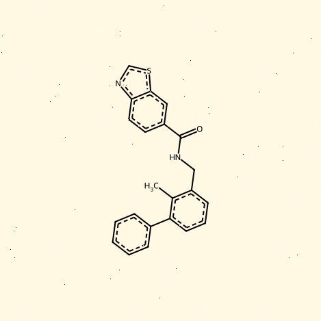 Cc1c(CNC(=O)c2ccc3ncsc3c2)cccc1-c1ccccc1